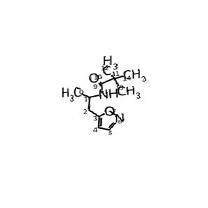 CC(Cc1ccno1)NC(=O)C(C)(C)C